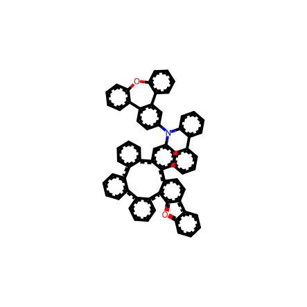 c1ccc(-c2ccccc2N(c2ccc3c(c2)-c2ccccc2Oc2ccccc2-3)c2ccc3c(c2)c2ccccc2c2ccccc2c2ccccc2c2c3ccc3c4ccccc4oc32)cc1